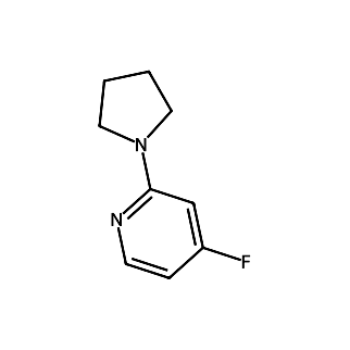 Fc1ccnc(N2CCCC2)c1